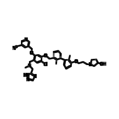 Cc1c(COc2cc(OCc3cncc(C#N)c3)c(CN(C)Cc3ncn[nH]3)cc2Cl)cccc1-c1cccc(OCCCN2CC[C@@H](O)C2)c1C